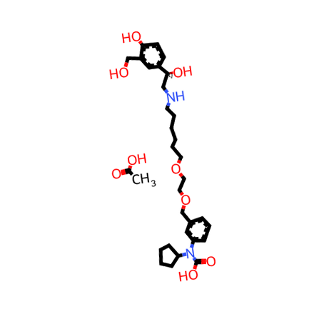 CC(=O)O.O=C(O)N(c1cccc(COCCOCCCCCCNC[C@H](O)c2ccc(O)c(CO)c2)c1)C1CCCC1